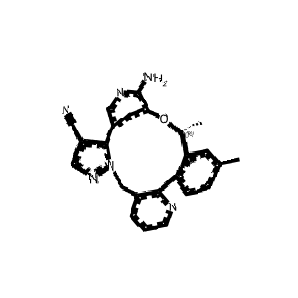 Cc1ccc2c(c1)[C@@H](C)Oc1cc(cnc1N)-c1c(C#N)cnn1Cc1cccnc1-2